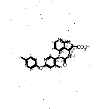 Cc1ccc(Oc2cc(C)c(N3C(=O)Nc4c(C(=O)O)sc5nccc3c45)cn2)cn1